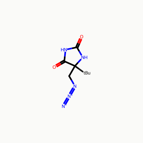 CC(C)(C)C1(CN=[N+]=[N-])NC(=O)NC1=O